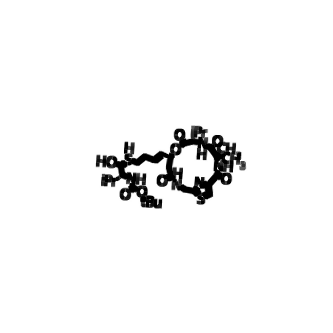 CC(C)[C@@H]1NC(=O)C(C)(C)NC(=O)c2csc(n2)CNC(=O)C[C@@H](/C=C/CC/[SH]=C(/O)[C@H](NC(=O)OC(C)(C)C)C(C)C)OC1=O